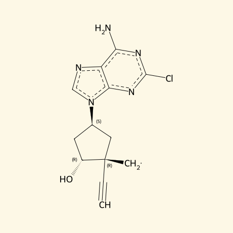 C#C[C@@]1([CH2])C[C@H](n2cnc3c(N)nc(Cl)nc32)C[C@H]1O